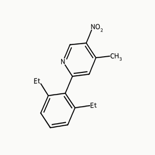 CCc1cccc(CC)c1-c1cc(C)c([N+](=O)[O-])cn1